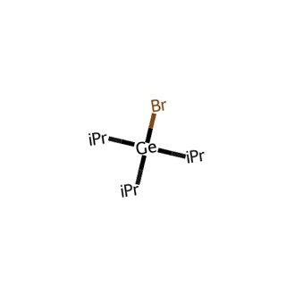 C[CH](C)[Ge]([Br])([CH](C)C)[CH](C)C